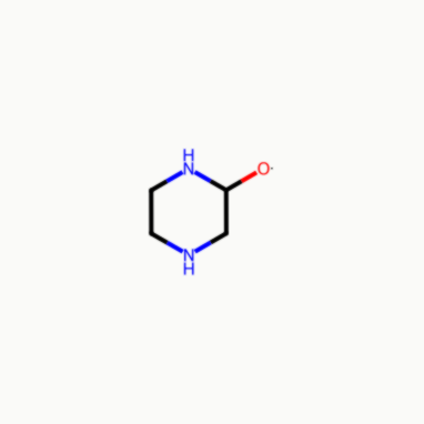 [O]C1CNCCN1